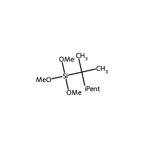 CCCC(C)C(C)(C)[Si](OC)(OC)OC